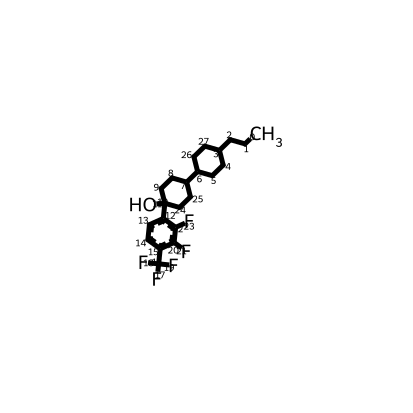 CCCC1CCC(C2CCC(O)(c3ccc(C(F)(F)F)c(F)c3F)CC2)CC1